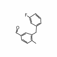 Cc1ccc(C=O)cc1Cc1cccc(F)c1